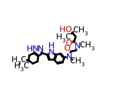 CN(CC(=O)N(C)c1ccc2cc(-c3n[nH]c4c3CCC(C)(C)C4)[nH]c2c1)C(=O)CC(C)(C)O